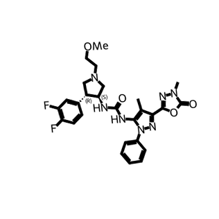 COCCN1C[C@@H](NC(=O)Nc2c(C)c(-c3nn(C)c(=O)o3)nn2-c2ccccc2)[C@H](c2ccc(F)c(F)c2)C1